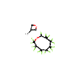 CC1COC1.FC1OC(F)(F)C(F)(F)C(F)(F)C(F)(F)C(F)(F)C(F)(F)C1(F)F